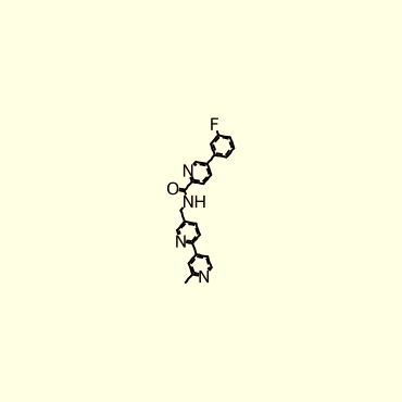 Cc1cc(-c2ccc(CNC(=O)c3ccc(-c4cccc(F)c4)cn3)cn2)ccn1